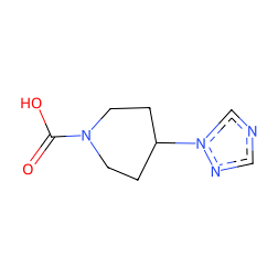 O=C(O)N1CCC(n2cncn2)CC1